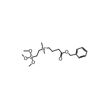 CO[Si](CC[N+](C)(C)CCCC(=O)OCc1ccccc1)(OC)OC